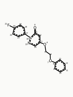 O=c1cc(OCCOc2ccccc2)cnn1-c1ccc(F)cc1